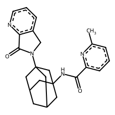 Cc1cccc(C(=O)NC23CC4CC(C2)CC(N2Cc5cccnc5C2=O)(C4)C3)n1